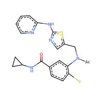 CC(=O)N(Cc1cnc(Nc2ccccn2)s1)c1cc(C(=O)NC2CC2)ccc1F